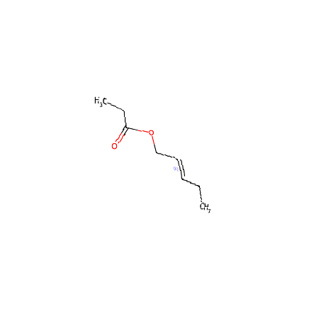 CC/C=C/COC(=O)CC